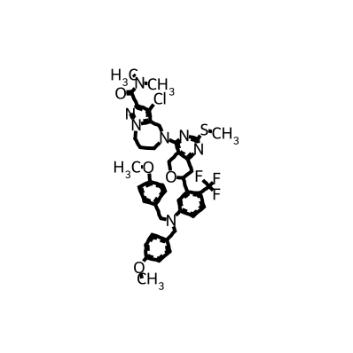 COc1ccc(CN(Cc2ccc(OC)cc2)c2ccc(C(F)(F)F)c(C3Cc4nc(SC)nc(N5CCCn6nc(C(=O)N(C)C)c(Cl)c6C5)c4CO3)c2)cc1